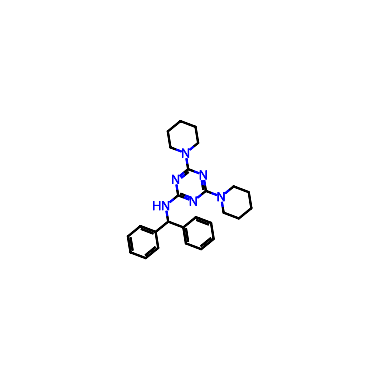 c1ccc(C(Nc2nc(N3CCCCC3)nc(N3CCCCC3)n2)c2ccccc2)cc1